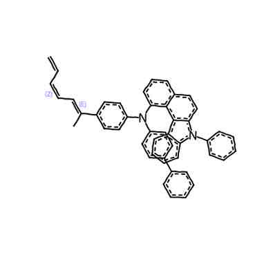 C=C/C=C\C=C(/C)c1ccc(N(c2ccc(-c3ccccc3)cc2)c2cccc3ccc4c(c5ccccc5n4-c4ccccc4)c23)cc1